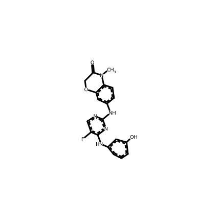 CN1C(=O)COc2cc(Nc3ncc(F)c(Nc4cccc(O)c4)n3)ccc21